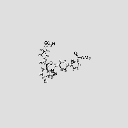 CNC(=O)c1cccc(-c2ccc(Cn3ncc4c(Cl)ccc(C(=O)NC5CC6(C5)CC(C(=O)O)C6)c43)cc2)n1